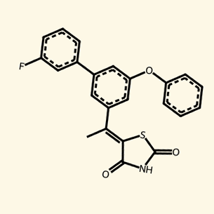 C/C(=C1/SC(=O)NC1=O)c1cc(Oc2ccccc2)cc(-c2cccc(F)c2)c1